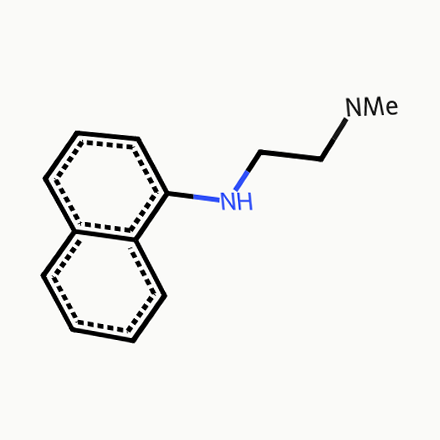 CNCCNc1cccc2ccccc12